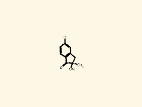 C[C@]1(O)Cc2cc(Cl)ccc2C1=O